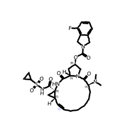 CN(C)[C@H]1CCCCC/C=C\[C@@H]2C[C@@]2(C(=O)NS(=O)(=O)C2CC2)NC(=O)[C@@H]2C[C@@H](OC(=O)N3Cc4cccc(F)c4C3)CN2C1=O